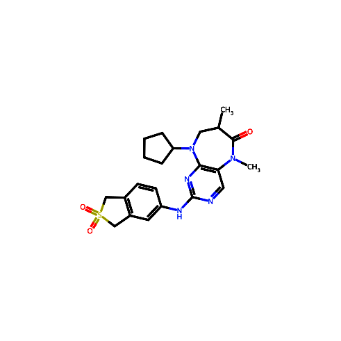 CC1CN(C2CCCC2)c2nc(Nc3ccc4c(c3)CS(=O)(=O)C4)ncc2N(C)C1=O